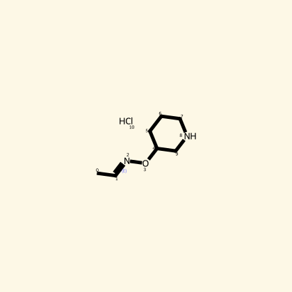 C/C=N/OC1CCCNC1.Cl